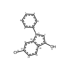 Oc1cn(-c2ccccc2)c2cc(Cl)ccc12